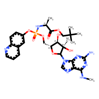 CNc1nc(N)nc2c1ncn2C1O[C@H](COP(=O)(N[C@@H](C)C(=O)OCC(C)(C)C)Oc2ccc3ncccc3c2)[C@@H](O)[C@@]1(C)O